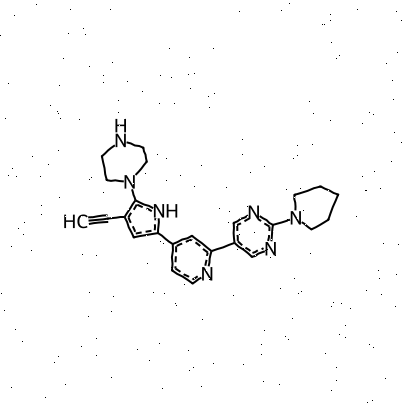 C#Cc1cc(-c2ccnc(-c3cnc(N4CCCCC4)nc3)c2)[nH]c1N1CCNCC1